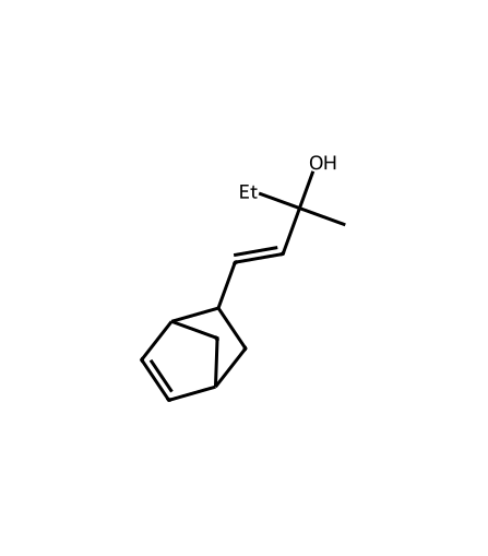 CCC(C)(O)C=CC1CC2C=CC1C2